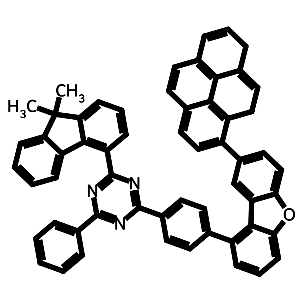 CC1(C)c2ccccc2-c2c(-c3nc(-c4ccccc4)nc(-c4ccc(-c5cccc6oc7ccc(-c8ccc9ccc%10c%11c9c8CC=C%11CC=C%10)cc7c56)cc4)n3)cccc21